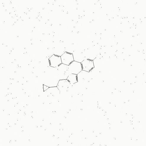 N#Cc1ccc(-c2cnc(CC(F)C3CC3)o2)c(-c2ccc3cccnc3c2)n1